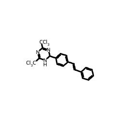 ClC(Cl)(Cl)C1=NC(c2ccc(C=Cc3ccccc3)cc2)NC(C(Cl)(Cl)Cl)=N1